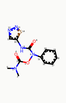 CN(C)C(=O)ON(C(=O)Nc1cnns1)c1ccccc1